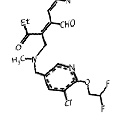 C=N/C=C\C(C=O)=C(\CN(C)Cc1cnc(OCC(F)F)c(Cl)c1)C(=O)CC